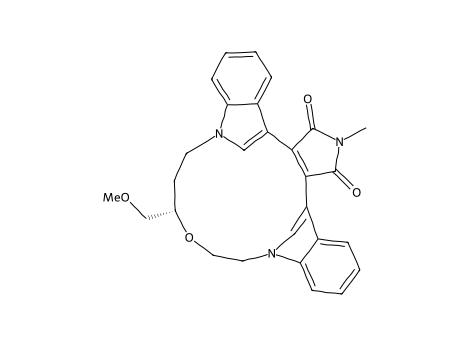 COC[C@@H]1CCn2cc(c3ccccc32)C2=C(C(=O)N(C)C2=O)c2cn(c3ccccc23)CCO1